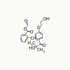 CC(C)(O)C(=O)c1ccc(OCCO)cc1.Cc1ccccc1C(=O)OC=O